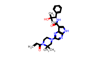 C=CC(=O)N1CCN(c2cnc3[nH]cc(C(=O)N[C@@H](c4ccccc4)C(C)(C)O)c3n2)CC1(C)C